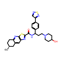 CC(C)(C)[C@H]1CCc2nc3sc(C(=O)NC(CCN4CCC(O)CC4)c4ccc(-c5cnsn5)cc4)nc3cc2C1